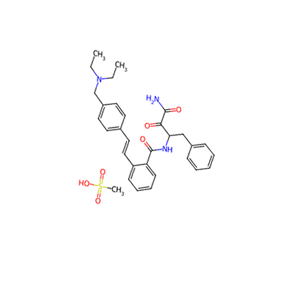 CCN(CC)Cc1ccc(C=Cc2ccccc2C(=O)NC(Cc2ccccc2)C(=O)C(N)=O)cc1.CS(=O)(=O)O